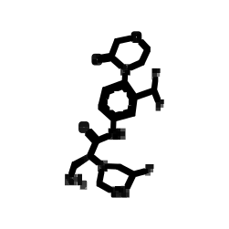 CC(C)(C)CN(CC(F)F)[C@@H](CN)C(=O)Nc1ccc(N2CCOCC2=O)c(C(F)F)c1